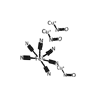 N#[C][Fe-3]([C]#N)([C]#N)([C]#N)([C]#N)[C]#N.O=[N][Cu+].O=[N][Cu+].O=[N][Cu+]